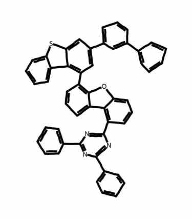 c1ccc(-c2cccc(-c3cc(-c4cccc5c4oc4cccc(-c6nc(-c7ccccc7)nc(-c7ccccc7)n6)c45)c4c(c3)sc3ccccc34)c2)cc1